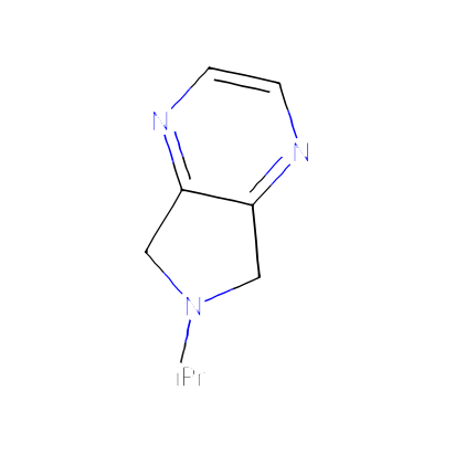 CC(C)N1Cc2nccnc2C1